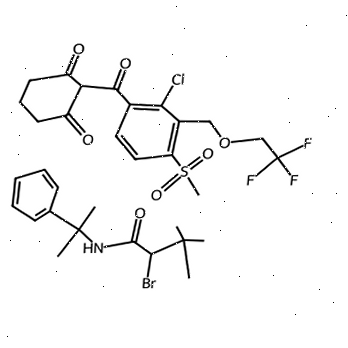 CC(C)(NC(=O)C(Br)C(C)(C)C)c1ccccc1.CS(=O)(=O)c1ccc(C(=O)C2C(=O)CCCC2=O)c(Cl)c1COCC(F)(F)F